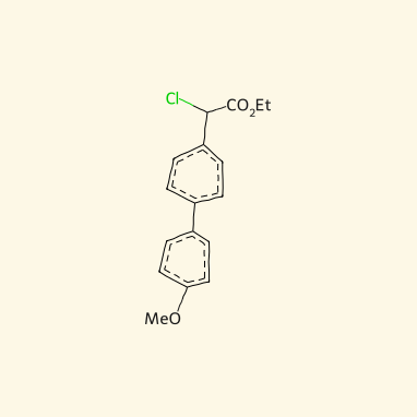 CCOC(=O)C(Cl)c1ccc(-c2ccc(OC)cc2)cc1